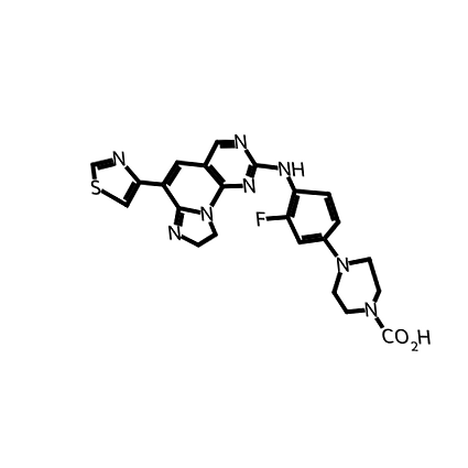 O=C(O)N1CCN(c2ccc(Nc3ncc4c(n3)N3CCN=C3C(c3cscn3)=C4)c(F)c2)CC1